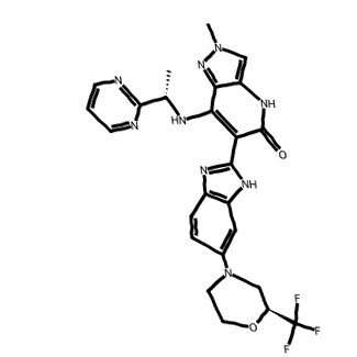 C[C@H](Nc1c(-c2nc3ccc(N4CCO[C@H](C(F)(F)F)C4)cc3[nH]2)c(=O)[nH]c2cn(C)nc12)c1ncccn1